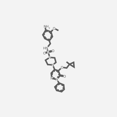 COc1cc(CNS(=O)(=O)N2CCN(c3cnn(-c4ccccc4)c(=O)c3OCC3(C)CC3)CC2)ccc1N